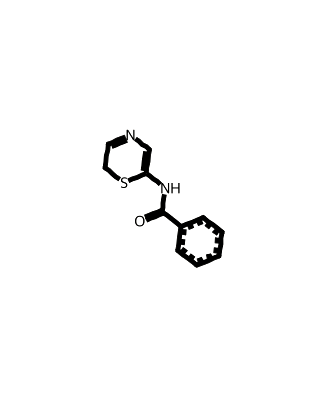 O=C(NC1=CN=CCS1)c1ccccc1